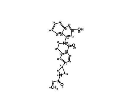 C=CC(=O)N1CC(c2ccc3c(c2)CCN(c2cc(O)cc4ccccc24)C3=O)C1